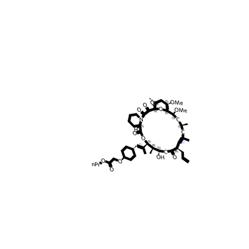 C=CC[C@@H]1/C=C(\C)C[C@H](C)C[C@H](OC)[C@H]2O[C@@](O)(C(=O)C(=O)N3CCCC[C@H]3C(=O)O[C@H](/C(C)=C/[C@H]3CC[C@H](OCC(=O)OCCC)CC3)[C@H](C)[C@@H](O)CC1=O)[C@H](C)C[C@@H]2OC